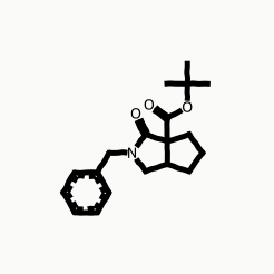 CC(C)(C)OC(=O)C12CCCC1CN(Cc1ccccc1)C2=O